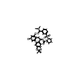 CN(C)C(=O)c1cccc(S(=O)(=O)N2CCC[C@H]2C(=O)OC(Cc2c(Cl)c[n+]([O-])cc2Cl)c2ccc3c(c2)OC(F)(F)O3)c1